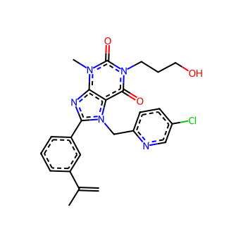 C=C(C)c1cccc(-c2nc3c(c(=O)n(CCCO)c(=O)n3C)n2Cc2ccc(Cl)cn2)c1